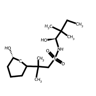 CCC(C)(C)[C@H](O)NS(=O)(=O)CC(C)(C)C1CCC[C@H](O)C1